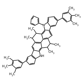 Cc1cc(-c2ccc3[nH]c4c5c6c(cc4c3c2)C(C)C(C)c2c-6c(cc3c4cc(-c6cc(C)c(C)c(C)c6)ccc4n(-c4ccccc4)c23)C(C)C5C)cc(C)c1C